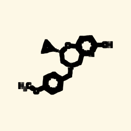 COc1ccc(CN2Cc3nc(O)ccc3O[C@@H](C3CC3)C2)cc1